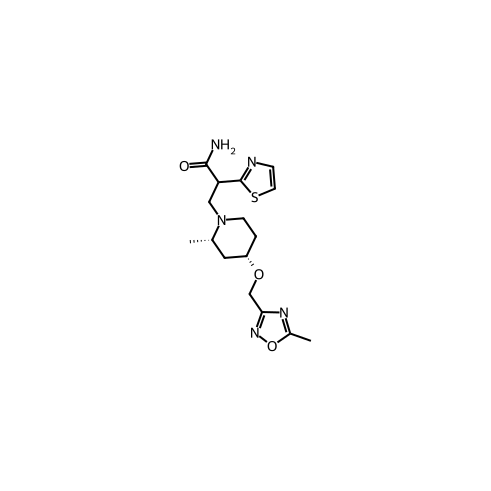 Cc1nc(CO[C@H]2CCN(CC(C(N)=O)c3nccs3)[C@@H](C)C2)no1